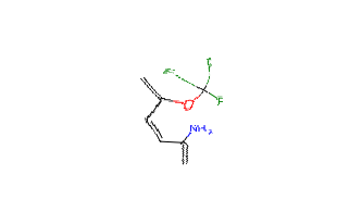 C=C(N)/C=C\C(=C)OC(F)(F)F